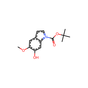 COc1cc2ccn(C(=O)OC(C)(C)C)c2cc1O